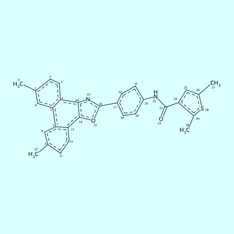 Cc1ccc2c(c1)c1cc(C)ccc1c1oc(-c3ccc(NC(=O)c4cc(C)sc4C)cc3)nc21